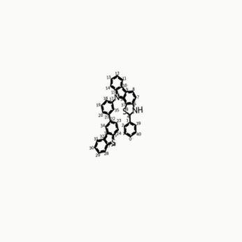 c1ccc(C2Nc3ccc4c5ccccc5n(-c5cccc(-c6ccc7sc8ccccc8c7c6)c5)c4c3S2)cc1